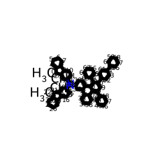 CC1(C)c2ccccc2-c2ccc(N(c3ccc4c(c3)C(C)(C)c3ccccc3-4)c3ccc4c(c3)c3ccccc3c3c(-c5ccccc5)cc(-c5ccc(-c6ccccc6)cc5)c(-c5ccccc5)c43)cc21